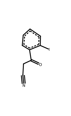 N#CCC(=O)c1ccccc1I